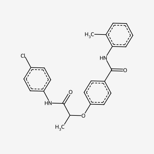 Cc1ccccc1NC(=O)c1ccc(OC(C)C(=O)Nc2ccc(Cl)cc2)cc1